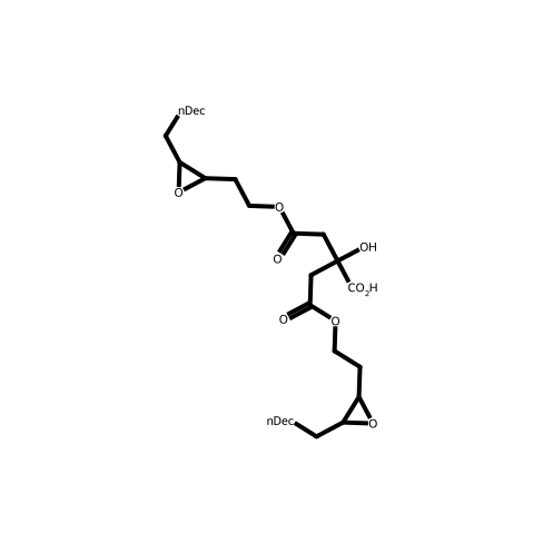 CCCCCCCCCCCC1OC1CCOC(=O)CC(O)(CC(=O)OCCC1OC1CCCCCCCCCCC)C(=O)O